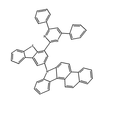 c1ccc(-c2cc(-c3ccccc3)nc(-c3cc(-n4c5ccccc5c5c6ccc7ccccc7c6ccc54)cc4c3sc3ccccc34)n2)cc1